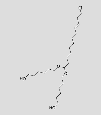 OCCCCCCOC(CCCCCCC/C=C/CCCl)OCCCCCCO